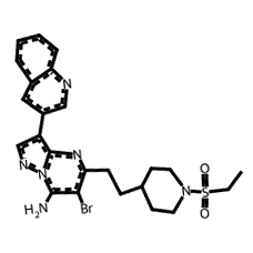 CCS(=O)(=O)N1CCC(CCc2nc3c(-c4cnc5ccccc5c4)cnn3c(N)c2Br)CC1